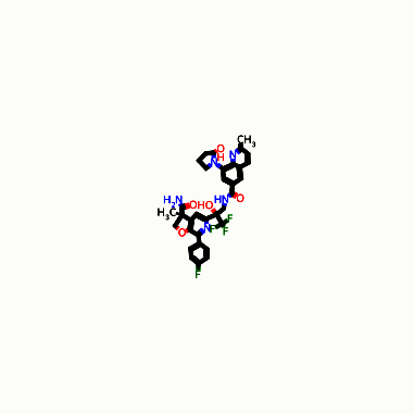 Cc1ccc2cc(C(=O)NCC(O)(c3cc4c(c(-c5ccc(F)cc5)n3)OC[C@]4(C)C(N)=O)C(F)(F)F)cc(N3CCCC3O)c2n1